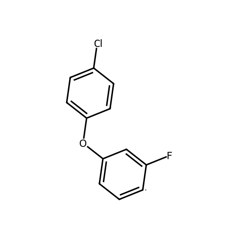 Fc1[c]ccc(Oc2ccc(Cl)cc2)c1